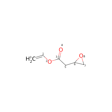 C=COC(=O)CC1CO1